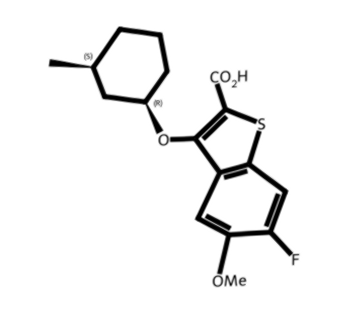 COc1cc2c(O[C@@H]3CCC[C@H](C)C3)c(C(=O)O)sc2cc1F